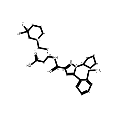 CCc1ccccc1-c1cc(C(=O)N[C@@H](CCN2CCCC(F)(F)C2)CC(=O)O)nn1C1CCCC1